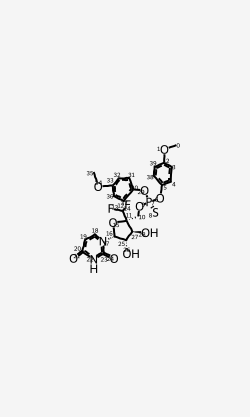 COc1ccc(OP(=S)(OC[C@@]2(C(F)F)O[C@@H](n3ccc(=O)[nH]c3=O)[C@@H](O)[C@@H]2O)Oc2ccc(OC)cc2)cc1